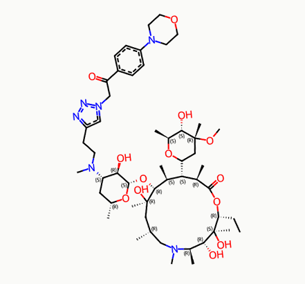 CC[C@H]1OC(=O)[C@H](C)[C@@H](C2C[C@@](C)(OC)[C@@H](O)[C@H](C)O2)[C@H](C)[C@@H](O[C@@H]2O[C@H](C)C[C@H](N(C)CCc3cn(CC(=O)c4ccc(N5CCOCC5)cc4)nn3)[C@H]2O)[C@](C)(O)C[C@@H](C)CN(C)[C@H](C)[C@@H](O)[C@]1(C)O